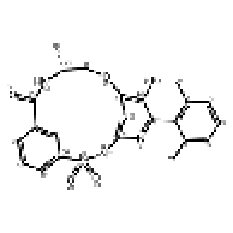 Cc1cccc(C)c1-c1nc2nc(c1Br)OC[C@@H](C)NC(=O)c1cccc(c1)S(=O)(=O)N2